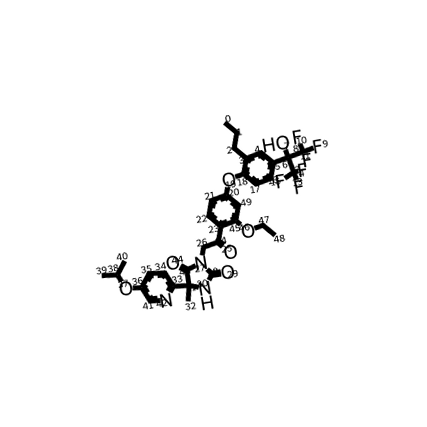 CCCc1cc(C(O)(C(F)(F)F)C(F)(F)F)ccc1Oc1ccc(C(=O)CN2C(=O)NC(C)(c3ccc(OC(C)C)cn3)C2=O)c(OCC)c1